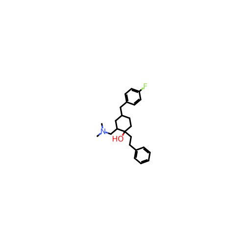 CN(C)CC1CC(Cc2ccc(F)cc2)CCC1(O)CCc1ccccc1